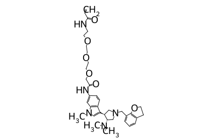 C=CC(=O)NCCOCCOCCOCC(=O)Nc1ccc2c([C@H]3CN(Cc4cccc5c4OCC5)C[C@@H]3N(C)C)cn(C)c2c1